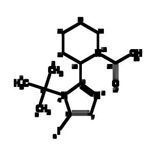 CC(C)(C)n1c(I)cnc1C1CCCCN1C(=O)O